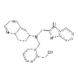 OCc1ccccc1CN(Cc1nc2ccccc2[nH]1)C1C=C2C=CC=NC2CC1